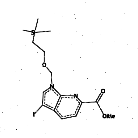 COC(=O)c1ccc2c(I)cn(COCC[Si](C)(C)C)c2n1